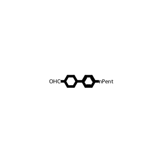 CCCCCc1ccc(C2CCC(C=O)CC2)cc1